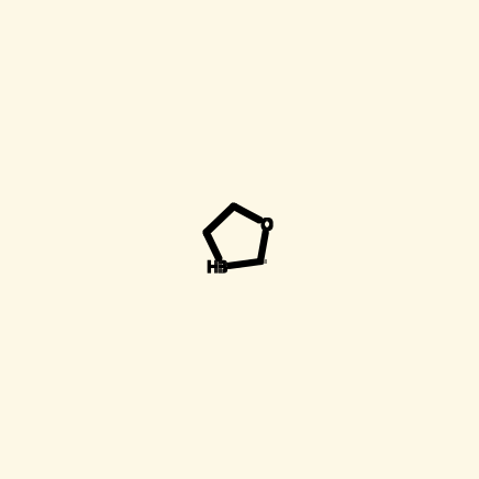 B1[CH]OCC1